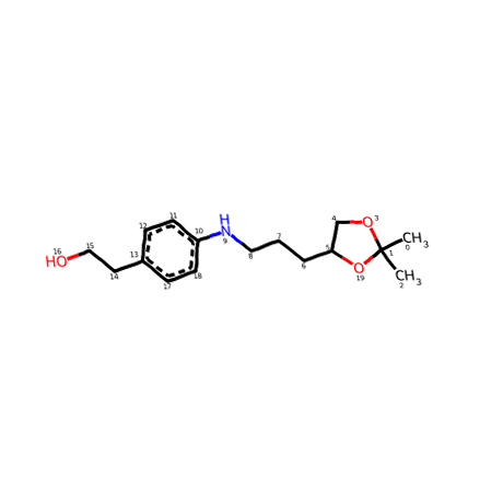 CC1(C)OCC(CCCNc2ccc(CCO)cc2)O1